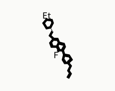 C=CCCc1ccc(-c2ccc3cc(CC[C@H]4CC[C@H](CC)CC4)ccc3c2F)cc1